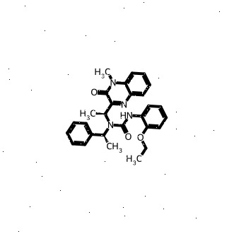 CCOc1ccccc1NC(=O)N([C@@H](C)c1ccccc1)[C@@H](C)c1nc2ccccc2n(C)c1=O